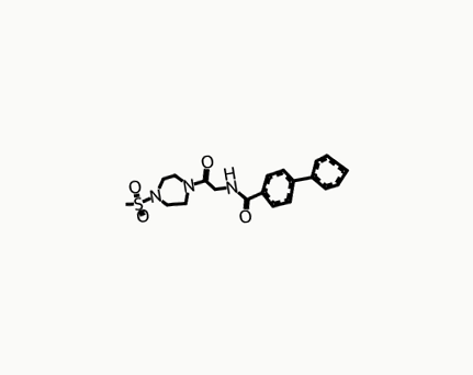 CS(=O)(=O)N1CCN(C(=O)CNC(=O)c2ccc(-c3ccccc3)cc2)CC1